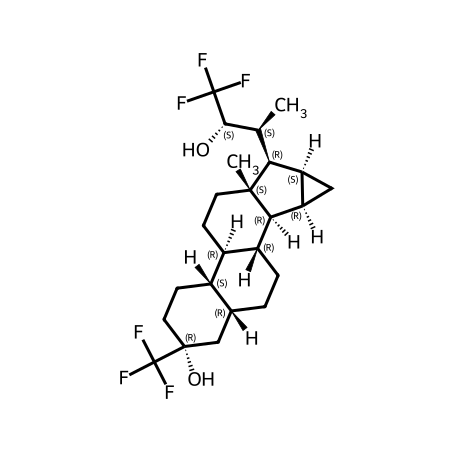 C[C@@H]([C@H]1[C@H]2C[C@H]2[C@H]2[C@@H]3CC[C@@H]4C[C@@](O)(C(F)(F)F)CC[C@@H]4[C@H]3CC[C@@]21C)[C@H](O)C(F)(F)F